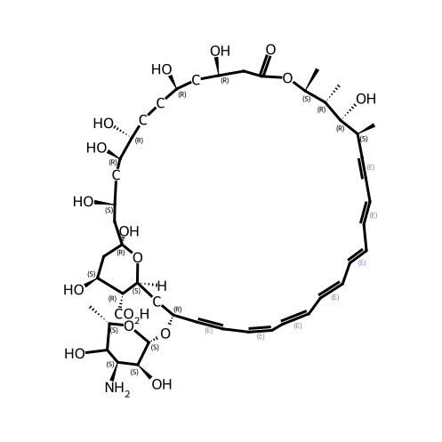 C[C@@H]1[C@H](O)[C@@H](C)/C=C/C=C/C=C/C=C/C=C/C=C/C=C/[C@H](O[C@H]2O[C@@H](C)C(O)[C@H](N)[C@@H]2O)C[C@@H]2O[C@](O)(C[C@@H](O)C[C@@H](O)[C@H](O)CC[C@@H](O)C[C@@H](O)CC(=O)O[C@H]1C)C[C@H](O)[C@H]2C(=O)O